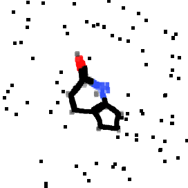 O=C1CCC2=C(CCC2)N1